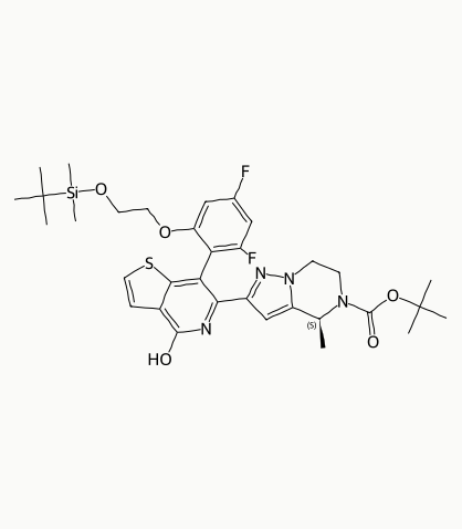 C[C@H]1c2cc(-c3nc(O)c4ccsc4c3-c3c(F)cc(F)cc3OCCO[Si](C)(C)C(C)(C)C)nn2CCN1C(=O)OC(C)(C)C